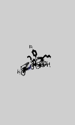 CCCCC1CN(c2ccc(F)cc2)c2cc(SCC)c(O/C=C/C(=O)O)cc2S(O)(O)C1